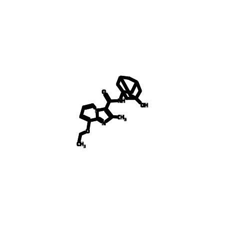 CCOc1cccn2c(C(=O)NC34CC5CC(CC(O)(C5)C3)C4)c(C)nc12